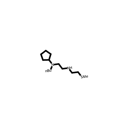 CCCCN(CCNCCSC)C1CCCC1